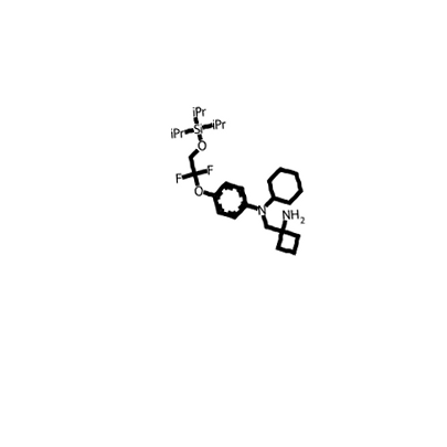 CC(C)[Si](OCC(F)(F)Oc1ccc(N(CC2(N)CCC2)C2CCCCC2)cc1)(C(C)C)C(C)C